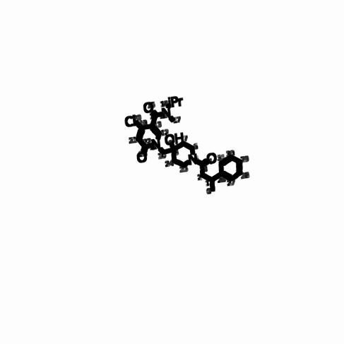 CC(CC(=O)N1CCC(O)(Cn2cc(C(=O)N(C)C(C)C)c(Cl)cc2=O)CC1)c1ccccc1